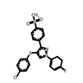 CS(=O)(=O)c1ccc(-c2nn(C3=CC=C(F)CC3)cc2Sc2ccc(Cl)cc2)cc1